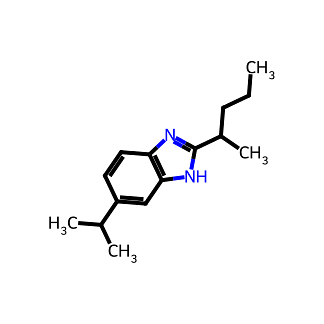 CCCC(C)c1nc2ccc(C(C)C)cc2[nH]1